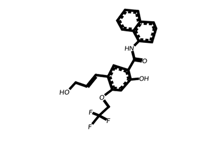 O=C(Nc1cccc2ccccc12)c1cc(/C=C/CO)c(OCC(F)(F)F)cc1O